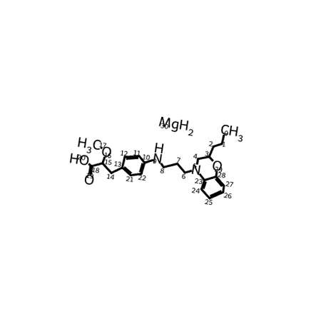 CCCC1CN(CCCNc2ccc(CC(OC)C(=O)O)cc2)c2ccccc2O1.[MgH2]